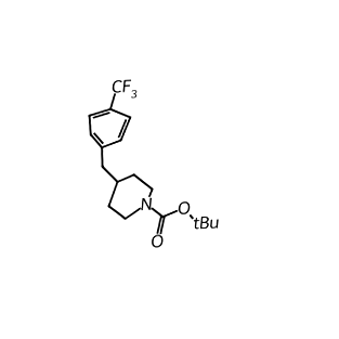 CC(C)(C)OC(=O)N1CCC(Cc2ccc(C(F)(F)F)cc2)CC1